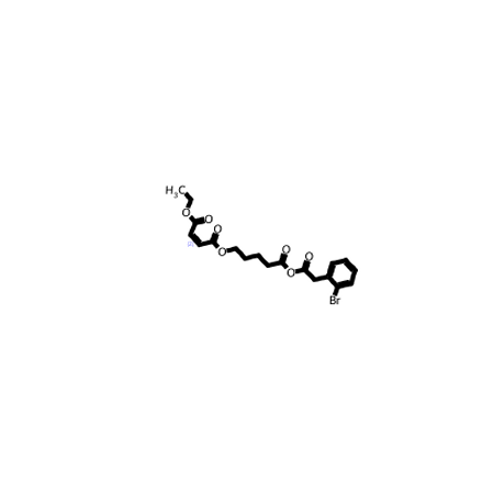 CCOC(=O)/C=C\C(=O)OCCCCC(=O)OC(=O)Cc1ccccc1Br